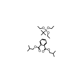 CC(C)COC(=O)c1ccccc1C(=O)OCC(C)C.CCO[Si](OCC)(OCC)C(C)(C)C